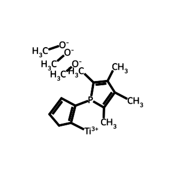 C[O-].C[O-].C[O-].Cc1c(C)c(C)p(C2=[C]([Ti+3])CC=C2)c1C